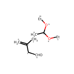 C=C(C)CC=O.CCOC(C)OCC